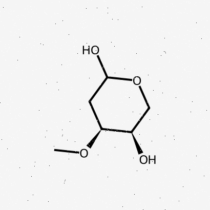 CO[C@H]1CC(O)OC[C@H]1O